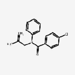 C=C(C)CN(C(=O)c1ccc(Cl)cc1)c1ccccc1